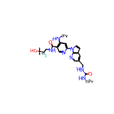 CCCNC(=O)NCc1cnc2c(ccn2-c2cc(NC(C)C)c(C(=O)NC[C@@H](F)C(C)(C)O)cn2)c1